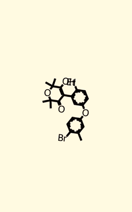 CCc1ccc(Oc2ccc(Br)c(C)c2)cc1C1=C(O)C(C)(C)OC(C)(C)C1=O